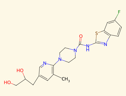 Cc1cc(CC(O)CO)cnc1N1CCN(C(=O)Nc2nc3ccc(F)cc3s2)CC1